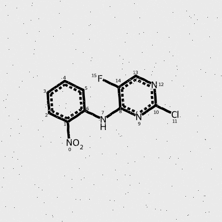 O=[N+]([O-])c1ccccc1Nc1nc(Cl)ncc1F